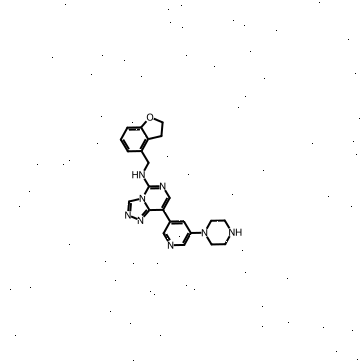 c1cc(CNc2ncc(-c3cncc(N4CCNCC4)c3)c3nncn23)c2c(c1)OCC2